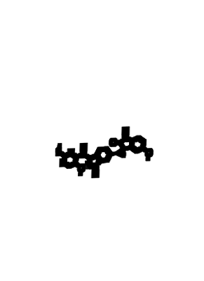 COc1ccc2c(c1)[C@]1(C[C@H]1c1ccc3c(Nc4nc(SC)ncc4OC)n[nH]c3c1)C(=O)N2